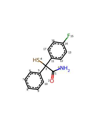 NC(=O)C(S)(c1ccccc1)c1ccc(F)cc1